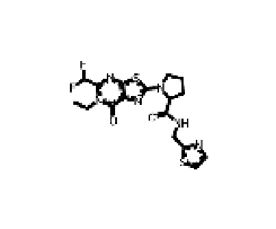 CCn1c(C(F)F)nc2sc(N3CCCC3C(=O)NCc3nccs3)nc2c1=O